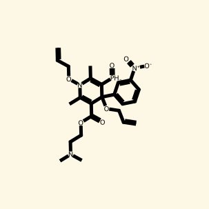 C=CCON1C(C)=C([PH2]=O)C(OCC=C)(c2cccc([N+](=O)[O-])c2)C(C(=O)OCCN(C)C)=C1C